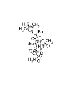 C[C@H]1CN(C[C@@H](NC(=O)N[C@H](C(=O)N2C[C@]3(C[C@H]2C(=O)NC(CC2CCC2)C(=O)C(N)=O)C(C)(C)C32CCC2)C(C)(C)C)C(C)(C)C)C[C@H](C)N1C